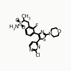 CC(Cc1cccc(-c2nc(N3CCOCC3)sc2-c2ccnc(Cl)n2)c1F)S(N)(=O)=O